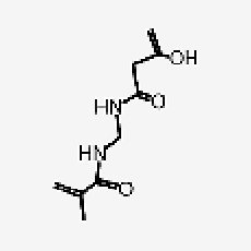 C=C(O)CC(=O)NCNC(=O)C(=C)C